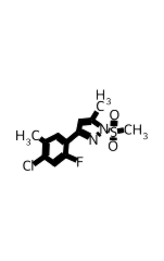 Cc1cc(-c2cc(C)n(S(C)(=O)=O)n2)c(F)cc1Cl